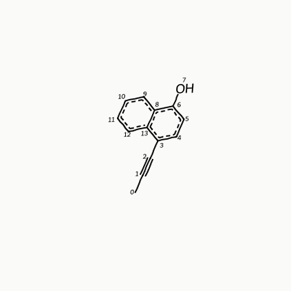 CC#Cc1ccc(O)c2ccccc12